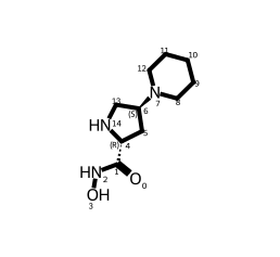 O=C(NO)[C@H]1C[C@H](N2CCCCC2)CN1